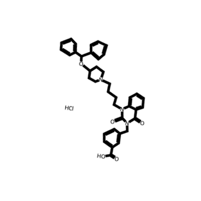 Cl.O=C(O)c1cccc(Cn2c(=O)c3ccccc3n(CCCCN3CCC(OC(c4ccccc4)c4ccccc4)CC3)c2=O)c1